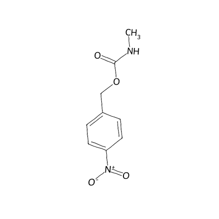 CNC(=O)OCc1ccc([N+](=O)[O-])cc1